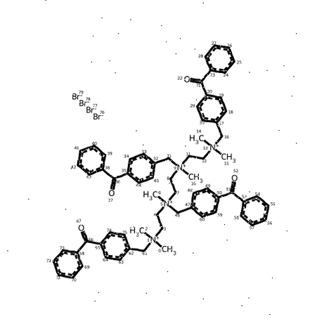 C[N+](C)(CC[N+](C)(CC[N+](C)(CC[N+](C)(C)Cc1ccc(C(=O)c2ccccc2)cc1)Cc1ccc(C(=O)c2ccccc2)cc1)Cc1ccc(C(=O)c2ccccc2)cc1)Cc1ccc(C(=O)c2ccccc2)cc1.[Br-].[Br-].[Br-].[Br-]